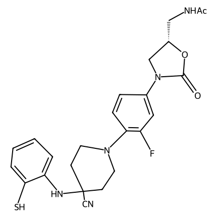 CC(=O)NC[C@H]1CN(c2ccc(N3CCC(C#N)(Nc4ccccc4S)CC3)c(F)c2)C(=O)O1